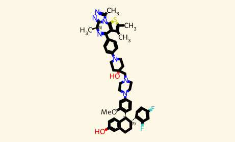 COc1cc(N2CCN(CC3(O)CCN(c4ccc(C5=N[C@@H](C)c6nnc(C)n6-c6sc(C)c(C)c65)cc4)CC3)CC2)ccc1[C@H]1c2ccc(O)cc2CC[C@H]1c1ccc(F)cc1F